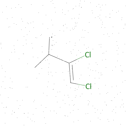 [CH2]C(C)C(Cl)=CCl